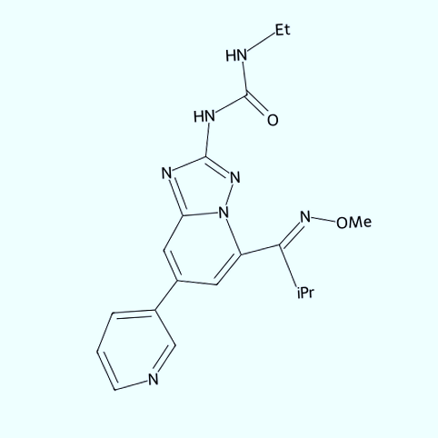 CCNC(=O)Nc1nc2cc(-c3cccnc3)cc(C(=NOC)C(C)C)n2n1